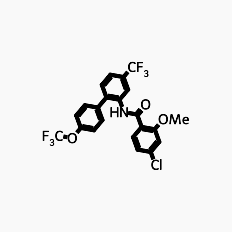 COc1cc(Cl)ccc1C(=O)Nc1cc(C(F)(F)F)ccc1-c1ccc(OC(F)(F)F)cc1